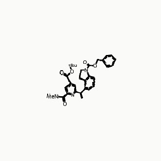 C=C(c1cc(C(=O)OC(C)(C)C)cc(C(=O)NC)n1)c1cccc2c1CCN2C(=O)OCc1ccccc1